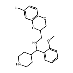 COc1ccccc1C(NCC1COc2ccc(Cl)cc2O1)C1CCNCC1